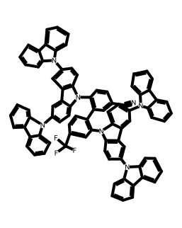 N#Cc1ccc(-n2c3ccc(-n4c5ccccc5c5ccccc54)cc3c3cc(-n4c5ccccc5c5ccccc54)ccc32)c(-c2ccc(C(F)(F)F)cc2-n2c3ccc(-n4c5ccccc5c5ccccc54)cc3c3cc(-n4c5ccccc5c5ccccc54)ccc32)c1